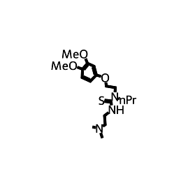 CCCN(CCOc1ccc(OC)c(OC)c1)C(=S)NCCN(C)C